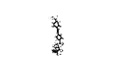 CNC(=O)[C@@](C)(C(=O)NO)N(C)C(=O)c1ccc(C#Cc2ccc([C@@H](C)O)cc2)cc1